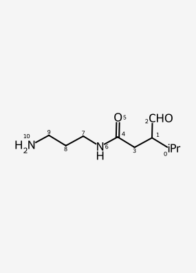 CC(C)C(C=O)CC(=O)NCCCN